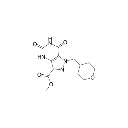 COC(=O)c1nn(CC2CCOCC2)c2c(=O)[nH]c(=O)[nH]c12